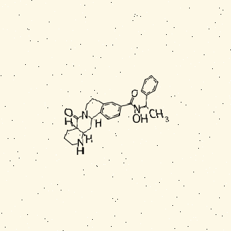 C[C@H](c1ccccc1)N(O)C(=O)c1ccc2c(c1)CCN1C(=O)[C@H]3CCCN[C@H]3C[C@H]21